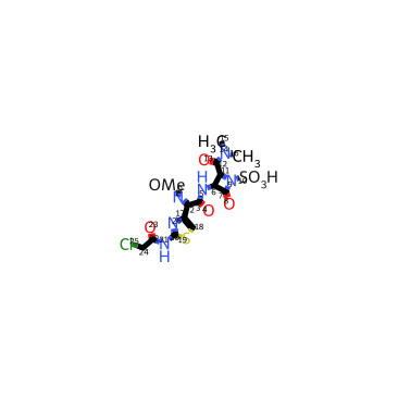 CON=C(C(=O)NC1C(=O)N(S(=O)(=O)O)C1C(=O)N(C)C)c1csc(NC(=O)CCl)n1